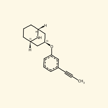 CC#Cc1cccc(O[C@@H]2C[C@H]3CCC[C@@H](C2)N3)c1